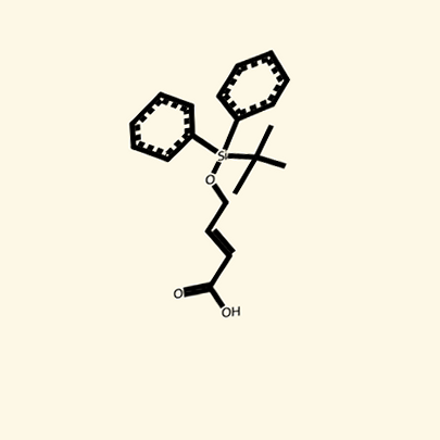 CC(C)(C)[Si](OC/C=C/C(=O)O)(c1ccccc1)c1ccccc1